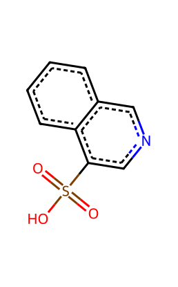 O=S(=O)(O)c1cncc2ccccc12